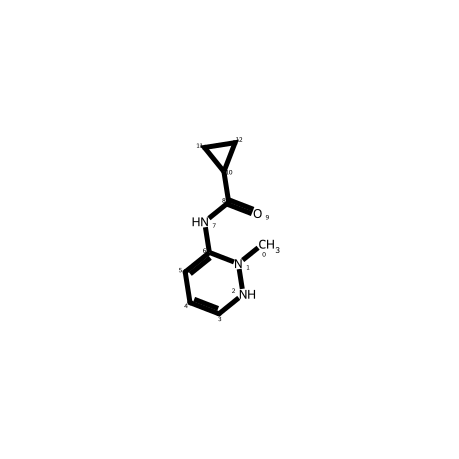 CN1NC=CC=C1NC(=O)C1CC1